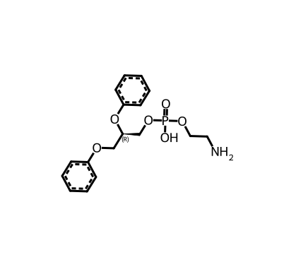 NCCOP(=O)(O)OC[C@@H](COc1ccccc1)Oc1ccccc1